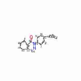 CC(C)(C)c1ccc(NC(=O)c2ccccc2I)cc1